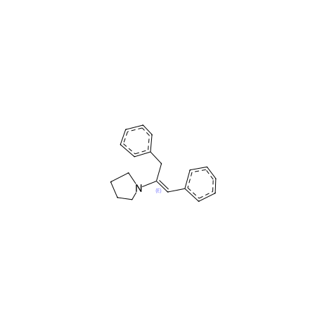 C(=C(/Cc1ccccc1)N1CCCC1)/c1ccccc1